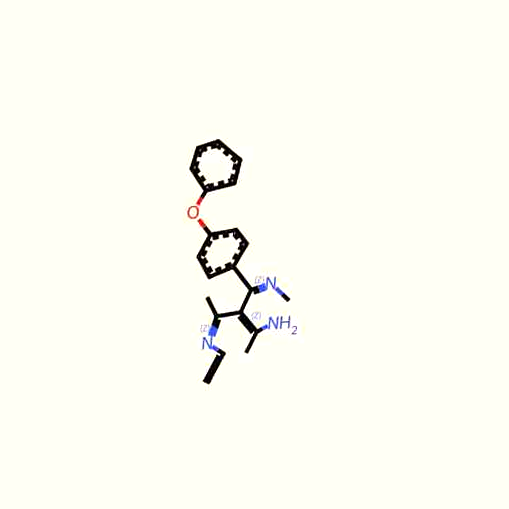 C=C\N=C(C)/C(C(=N\C)/c1ccc(Oc2ccccc2)cc1)=C(\C)N